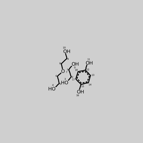 OCCO.OCCOCCO.Oc1ccc(O)cc1